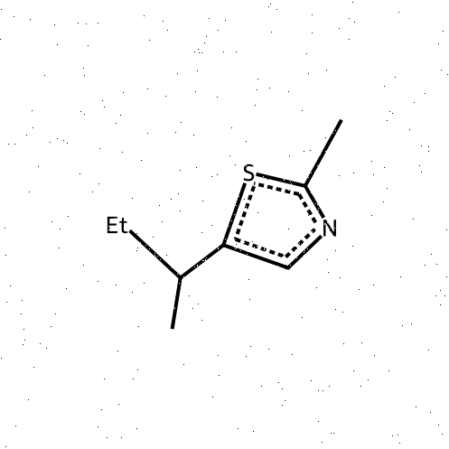 CCC(C)c1cnc(C)s1